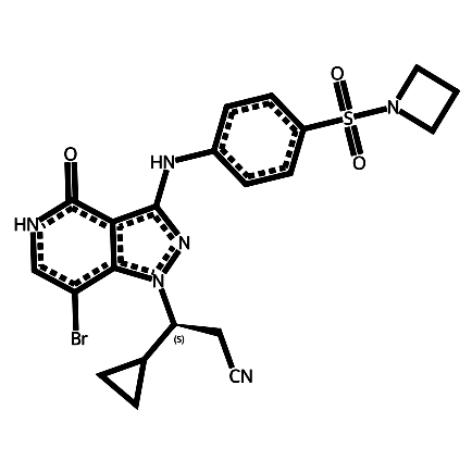 N#CC[C@@H](C1CC1)n1nc(Nc2ccc(S(=O)(=O)N3CCC3)cc2)c2c(=O)[nH]cc(Br)c21